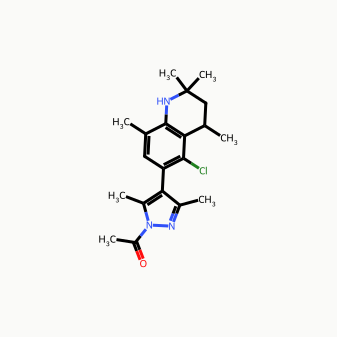 CC(=O)n1nc(C)c(-c2cc(C)c3c(c2Cl)C(C)CC(C)(C)N3)c1C